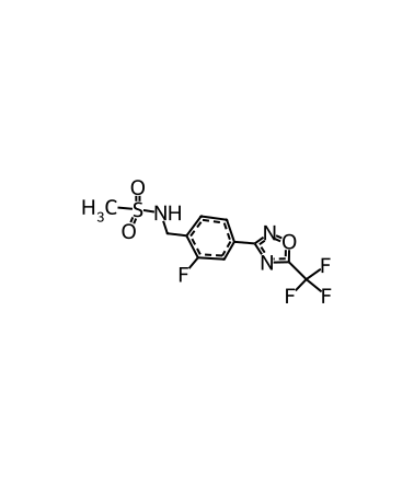 CS(=O)(=O)NCc1ccc(-c2noc(C(F)(F)F)n2)cc1F